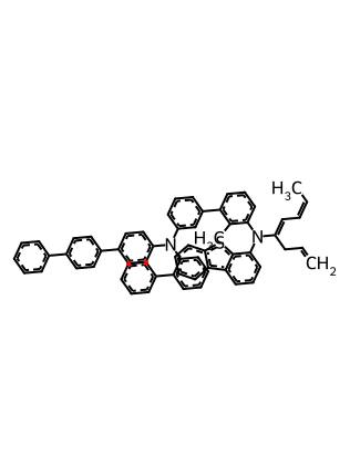 C=CC/C(=C\C=C/C)N(c1cccc(-c2cccc(N(c3ccc(-c4ccc(-c5ccccc5)cc4)cc3)c3ccccc3-c3ccccc3)c2)c1C)c1cccc2c1sc1ccccc12